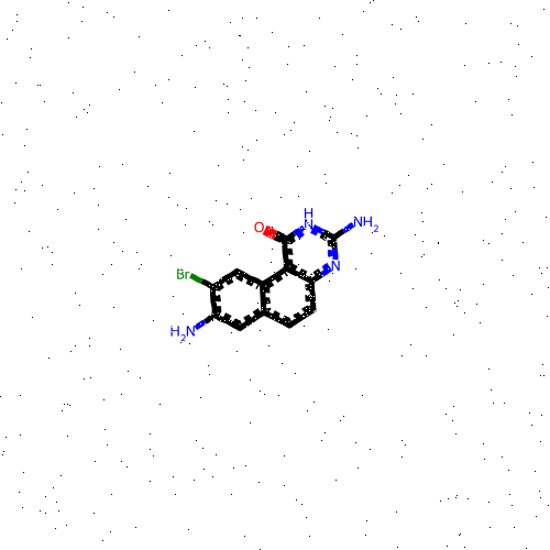 Nc1nc2ccc3cc(N)c(Br)cc3c2c(=O)[nH]1